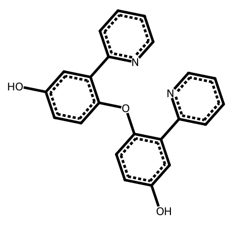 Oc1ccc(Oc2ccc(O)cc2-c2ccccn2)c(-c2ccccn2)c1